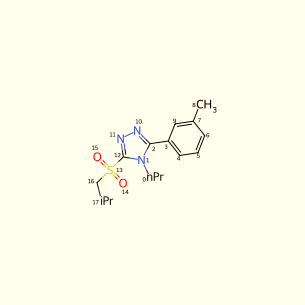 CCCn1c(-c2cccc(C)c2)nnc1S(=O)(=O)CC(C)C